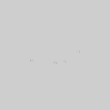 OCC1(Cl)C=CC(Cl)=NN1